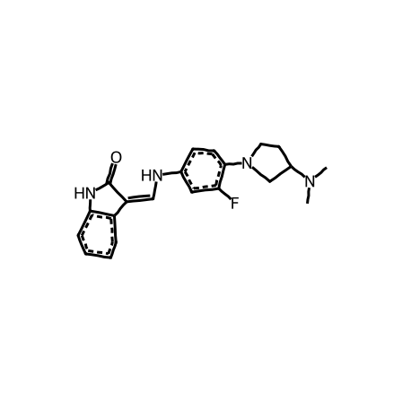 CN(C)C1CCN(c2ccc(NC=C3C(=O)Nc4ccccc43)cc2F)C1